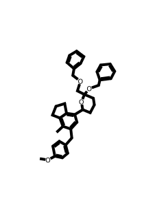 COc1ccc(Cc2cc(C3CCCC(COCc4ccccc4)(OCc4ccccc4)O3)c3c(c2C)CCC3)cc1